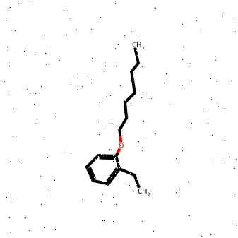 [CH2]Cc1ccccc1OCCCCCCC